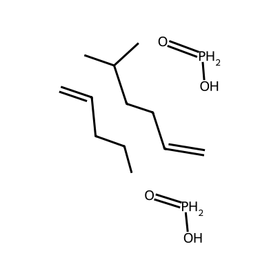 C=CCCC.C=CCCC(C)C.O=[PH2]O.O=[PH2]O